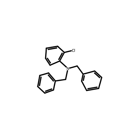 Clc1[c]cccc1N(Cc1ccccc1)Cc1ccccc1